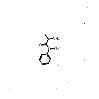 CCCN(C(=O)C(C)N)c1ccccc1